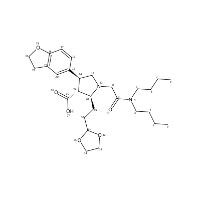 CCCCN(CCCC)C(=O)CN1C[C@H](c2ccc3c(c2)CCO3)[C@@H](C(=O)O)[C@@H]1CCC1OCCO1